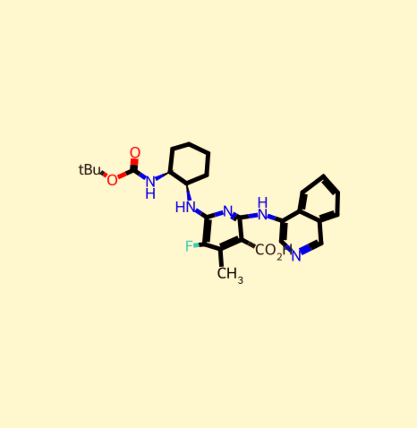 Cc1c(F)c(N[C@@H]2CCCC[C@@H]2NC(=O)OC(C)(C)C)nc(Nc2cncc3ccccc23)c1C(=O)O